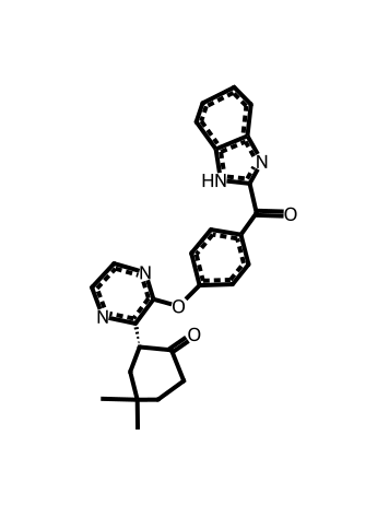 CC1(C)CCC(=O)[C@@H](c2nccnc2Oc2ccc(C(=O)c3nc4ccccc4[nH]3)cc2)C1